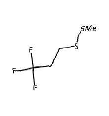 CSSCCC(F)(F)F